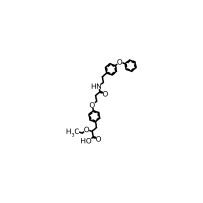 CCOC(Cc1ccc(OCCC(=O)NCCc2ccc(Oc3ccccc3)cc2)cc1)C(=O)O